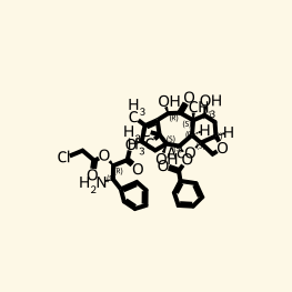 CC(=O)O[C@@]12CO[C@@H]1C[C@H](O)[C@@]1(C)C(=O)[C@H](O)C3=C(C)[C@@H](OC(=O)[C@H](OC(=O)CCl)[C@@H](N)c4ccccc4)C[C@@](O)([C@@H](OC(=O)c4ccccc4)[C@H]21)C3(C)C